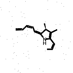 C=C/C=C\C=C1\NC(/C=C\C)=C(C)[C@@H]1C